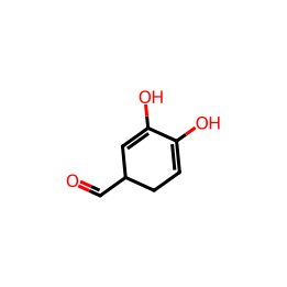 O=CC1C=C(O)C(O)=CC1